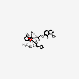 C[C@@H]1CC[C@@]23CCC(=O)[C@H]2[C@]1(C)[C@H](OC(=O)COc1ccc2c(c1F)B(O)OC2)C[C@@](C)(CCN1CCC1)[C@@H](O)[C@@H]3C